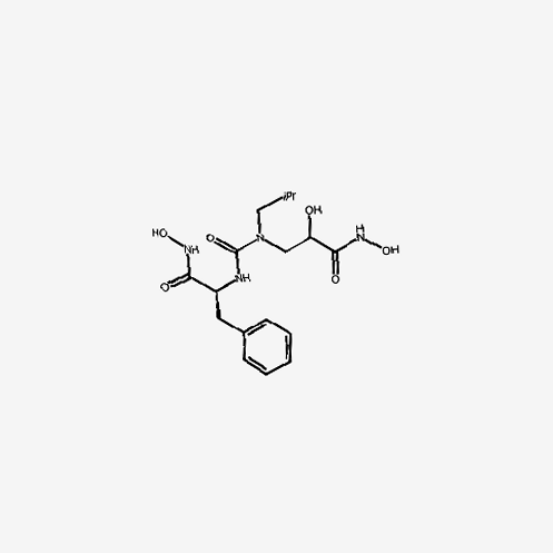 CC(C)CN(CC(O)C(=O)NO)C(=O)N[C@@H](Cc1ccccc1)C(=O)NO